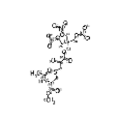 COC(=O)[C@H](CSCC(=O)C(=O)OCC(CO[N+](=O)[O-])(CO[N+](=O)[O-])CO[N+](=O)[O-])NC(C)=O